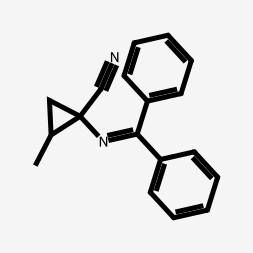 CC1CC1(C#N)N=C(c1ccccc1)c1ccccc1